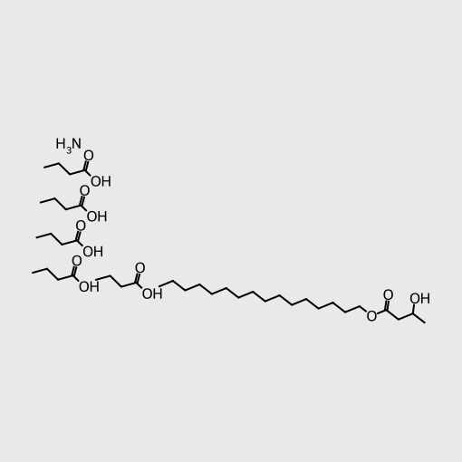 CCCC(=O)O.CCCC(=O)O.CCCC(=O)O.CCCC(=O)O.CCCC(=O)O.CCCCCCCCCCCCCCCCOC(=O)CC(C)O.N